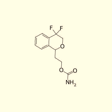 NC(=O)OCCC1OCC(F)(F)c2ccccc21